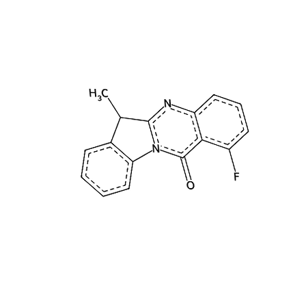 CC1c2ccccc2-n2c1nc1cccc(F)c1c2=O